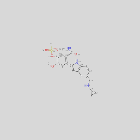 COc1cc(-c2cc3cc(CNC4CC4)ccc3[nH]2)c2c(c1OS(C)(=O)=O)CNC2=O